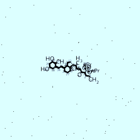 C=CCC(C(=O)/C=C/[C@@H](C)[C@H]1CCC2/C(=C/C=C3/C[C@@H](O)C[C@H](O)C3=C)CCC[C@@]21C)P(=O)(OCCC)OCCC